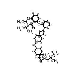 COC(C)(C)CN1CC2(CCC(CN3CCC4(CC3)CN(c3ncncc3Oc3ccc(F)cc3C(=O)N(C(C)C)C(C)C)C4)CC2)NC1=O